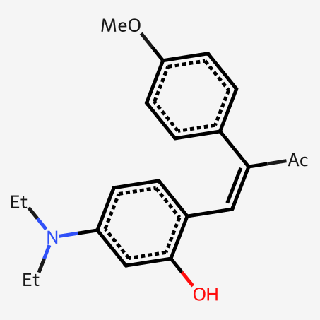 CCN(CC)c1ccc(C=C(C(C)=O)c2ccc(OC)cc2)c(O)c1